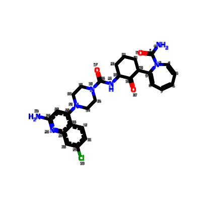 NC(=O)N1C=CC=CC=C1C1CCCC(NC(=O)N2CCN(c3cc(N)nc4cc(Cl)ccc34)CC2)C1=O